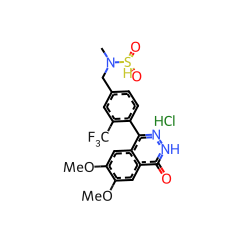 COc1cc2c(-c3ccc(CN(C)[SH](=O)=O)cc3C(F)(F)F)n[nH]c(=O)c2cc1OC.Cl